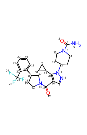 NC(=O)N1CCC(n2ncc(C(=O)N3CC[C@@H](c4ccccc4C(F)(F)F)C3)c2C2CC2)CC1